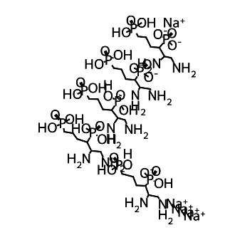 NCC(N)C(CCCP(=O)(O)O)P(=O)(O)O.NCC(N)C(CCCP(=O)(O)O)P(=O)(O)O.NCC(N)C(CCCP(=O)(O)O)P(=O)([O-])O.NCC(N)C(CCCP(=O)(O)O)P(=O)([O-])[O-].NCC(N)C(CCCP(=O)(O)O)P(=O)([O-])[O-].[Na+].[Na+].[Na+].[Na+].[Na+]